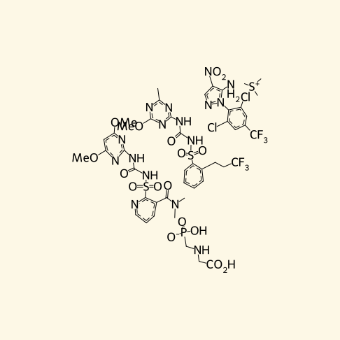 COc1cc(OC)nc(NC(=O)NS(=O)(=O)c2ncccc2C(=O)N(C)C)n1.COc1nc(C)nc(NC(=O)NS(=O)(=O)c2ccccc2CCC(F)(F)F)n1.C[S+](C)C.Nc1c([N+](=O)[O-])cnn1-c1c(Cl)cc(C(F)(F)F)cc1Cl.O=C(O)CNCP(=O)([O-])O